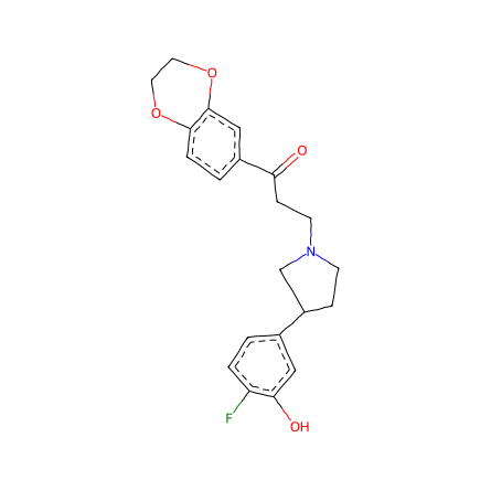 O=C(CCN1CCC(c2ccc(F)c(O)c2)C1)c1ccc2c(c1)OCCO2